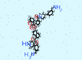 NCc1cccc(C2CCN(C(=O)c3cccc([C@@]4(c5ccccc5)OB(c5ccc6c(C(=O)C7Oc8ccc(CN)cc8C78CCNCC8)cccc6c5)OC4=O)c3)CC2)c1